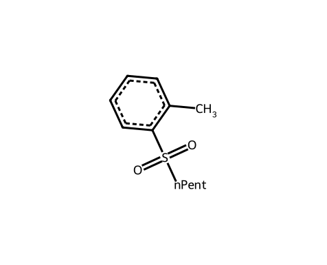 CCCCCS(=O)(=O)c1ccccc1C